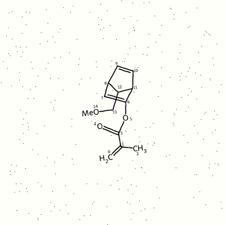 C=C(C)C(=O)OC1=CC2C=CC1C2COC